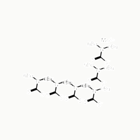 CCCCN(CCCC)C(=S)[S-].CCCCN(CCCC)C(=S)[S-].CCCCN(CCCC)C(=S)[S-].CCCCN(CCCC)C(=S)[S-].CCCCN(CCCC)C(=S)[S-].CCCCN(CCCC)C(=S)[S-].[Mo+6]